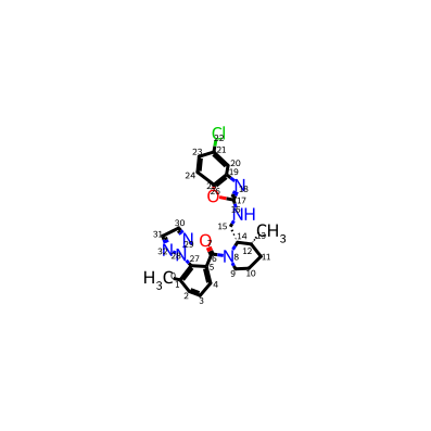 Cc1cccc(C(=O)N2CCC[C@@H](C)[C@H]2CNc2nc3cc(Cl)ccc3o2)c1-n1nccn1